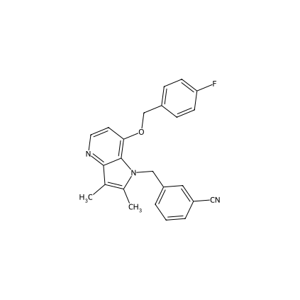 Cc1c(C)n(Cc2cccc(C#N)c2)c2c(OCc3ccc(F)cc3)ccnc12